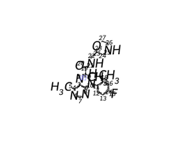 C/C(=N\c1c(C)ncnc1Nc1ccc(F)cc1C)C(=O)NCC1CNCCO1